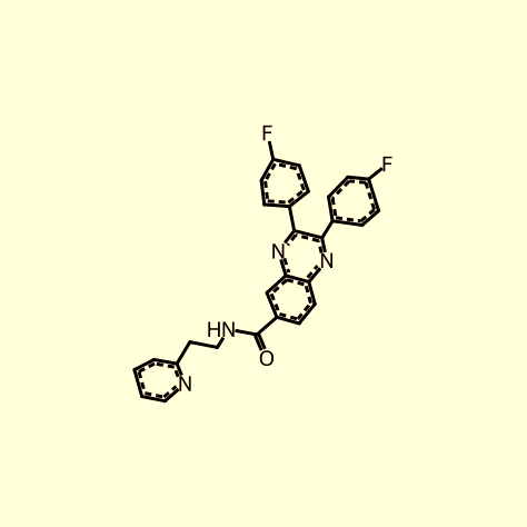 O=C(NCCc1ccccn1)c1ccc2nc(-c3ccc(F)cc3)c(-c3ccc(F)cc3)nc2c1